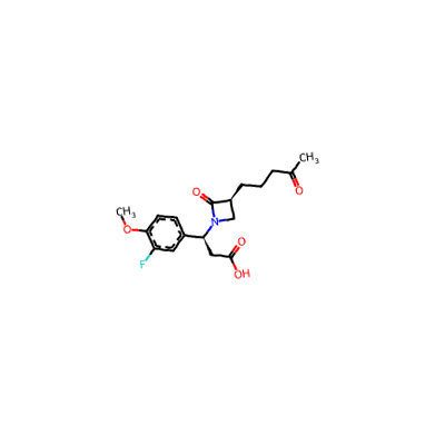 COc1ccc([C@H](CC(=O)O)N2C[C@H](CCCC(C)=O)C2=O)cc1F